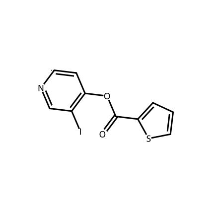 O=C(Oc1c[c]ncc1I)c1cccs1